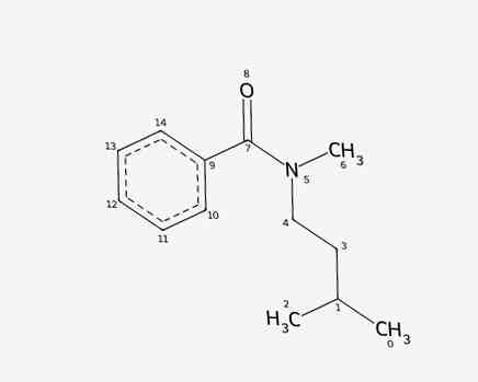 CC(C)CCN(C)C(=O)c1ccccc1